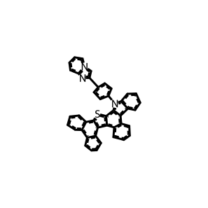 c1ccc2c(c1)c1ccccc1c1c2sc2c1c1ccccc1c1c3ccccc3n(-c3ccc(-c4cn5ccccc5n4)cc3)c21